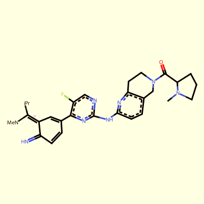 CN/C(=C1/C=C(c2nc(Nc3ccc4c(n3)CCN(C(=O)C3CCCN3C)C4)ncc2F)C=CC1=N)C(C)C